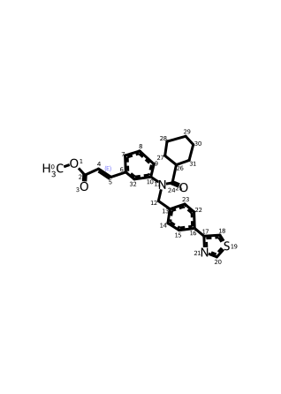 COC(=O)/C=C/c1cccc(N(Cc2ccc(-c3cscn3)cc2)C(=O)C2CCCCC2)c1